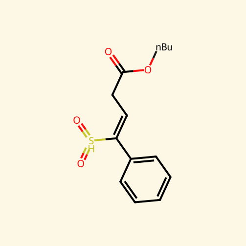 CCCCOC(=O)CC=C(c1ccccc1)[SH](=O)=O